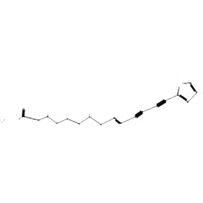 COC(=O)CCCCCCC/C=C/C#CC#Cc1ccco1